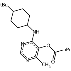 CCCC(=O)Oc1c(C)ncnc1NC1CCC(C(C)(C)C)CC1